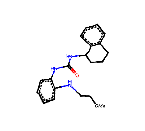 COCCNc1ccccc1NC(=O)NC1CCCc2ccccc21